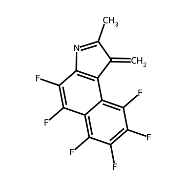 C=C1C(C)=Nc2c(F)c(F)c3c(F)c(F)c(F)c(F)c3c21